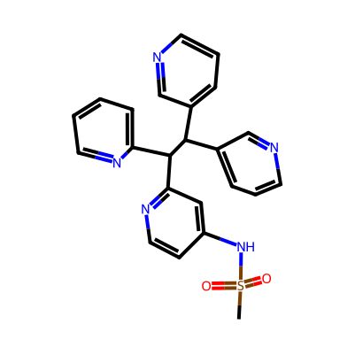 CS(=O)(=O)Nc1ccnc(C(c2ccccn2)C(c2cccnc2)c2cccnc2)c1